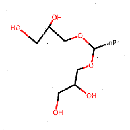 CCCC(OCC(O)CO)OCC(O)CO